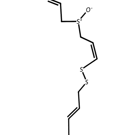 C=CC[S+]([O-])C/C=C\SSC/C=C/C